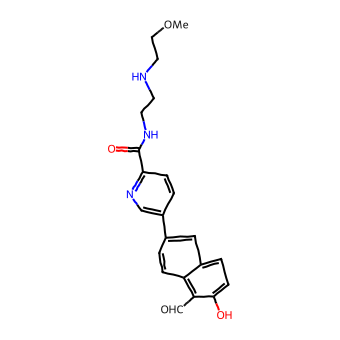 COCCNCCNC(=O)c1ccc(-c2ccc3c(C=O)c(O)ccc3c2)cn1